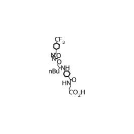 CCCCC(COc1nnc(-c2ccc(C(F)(F)F)cc2)o1)Nc1ccc(C(=O)NCCC(=O)O)cc1